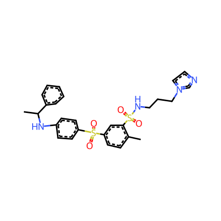 Cc1ccc(S(=O)(=O)c2ccc(NC(C)c3ccccc3)cc2)cc1S(=O)(=O)NCCCn1ccnc1